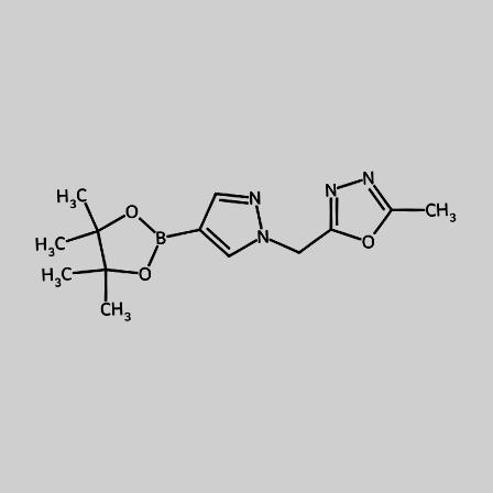 Cc1nnc(Cn2cc(B3OC(C)(C)C(C)(C)O3)cn2)o1